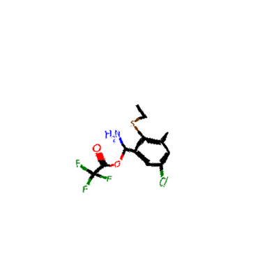 CCSc1c(C)cc(Cl)cc1C(N)OC(=O)C(F)(F)F